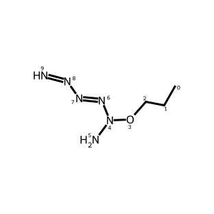 CCCON(N)N=NN=N